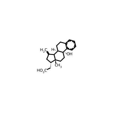 C=C1C[C@@H](CC(=O)O)[C@@]2(C)CC[C@]3(O)c4ccccc4CC[C@@H]3C12